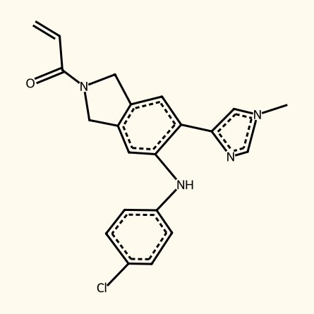 C=CC(=O)N1Cc2cc(Nc3ccc(Cl)cc3)c(-c3cn(C)cn3)cc2C1